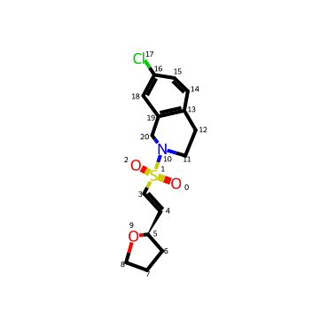 O=S(=O)(C=C[C@H]1CCCO1)N1CCc2ccc(Cl)cc2C1